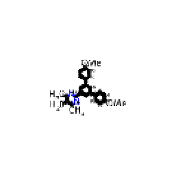 Bc1c(C)nc(-c2cc(-c3ccc(OC)cc3)cc(-c3ccc(OC)cc3)c2)nc1C